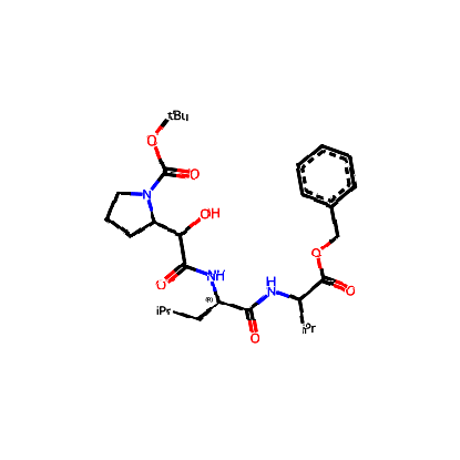 CC(C)C[C@@H](NC(=O)C(O)C1CCCN1C(=O)OC(C)(C)C)C(=O)NC(C(=O)OCc1ccccc1)C(C)C